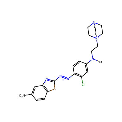 CCN(CC[N+]12CCN(CC1)CC2)c1ccc(/N=N/c2nc3cc([N+](=O)[O-])ccc3s2)c(Cl)c1